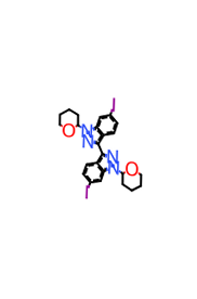 Ic1ccc2c(-c3nn(C4CCCCO4)c4cc(I)ccc34)nn(C3CCCCO3)c2c1